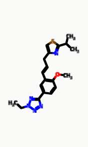 CCn1nnc(-c2ccc(OC)c(/C=C/Cc3csc(C(C)C)n3)c2)n1